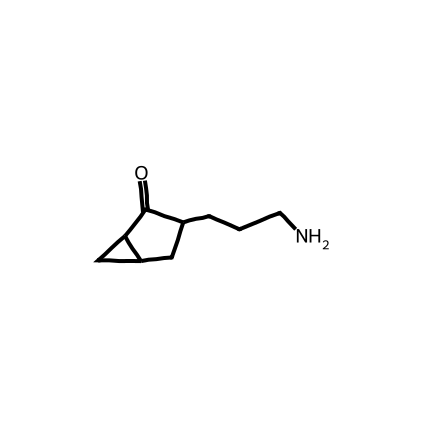 NCCCC1CC2CC2C1=O